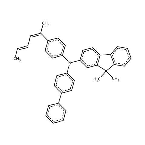 C/C=C/C=C(/C)c1ccc(N(c2ccc(-c3ccccc3)cc2)c2ccc3c(c2)C(C)(C)c2ccccc2-3)cc1